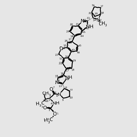 COC(=O)N[C@H](C(=O)N1CCC[C@H]1c1ncc(-c2ccc3c(c2)COc2cc(-c4ccc5nc([C@@H]6C7CCC(C7)N6C)[nH]c5c4)ccc2-3)[nH]1)C(C)C